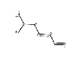 [CH]=CC=CCC(C)CC